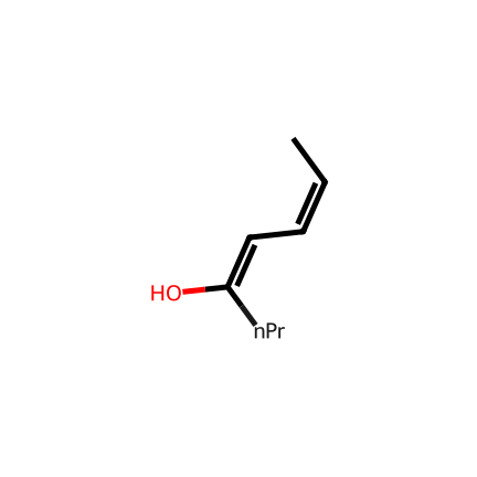 C/C=C\C=C(\O)CCC